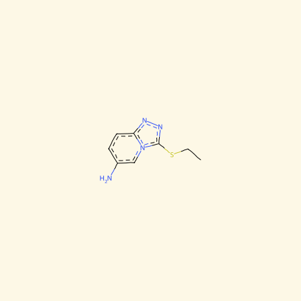 CCSc1nnc2ccc(N)cn12